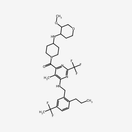 CCCc1ccc(C(C)(F)F)cc1CNc1nc(C(F)(F)F)nc(C(=O)N2CCC(NC3CCOCC3OC)CC2)c1C